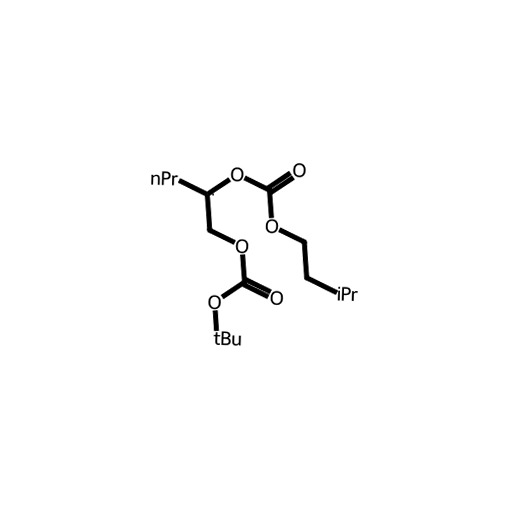 CCC[C](COC(=O)OC(C)(C)C)OC(=O)OCCC(C)C